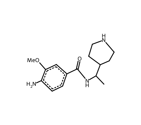 COc1cc(C(=O)NC(C)C2CCNCC2)ccc1N